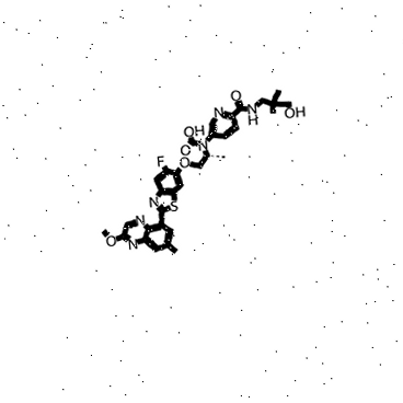 COc1cnc2c(-c3nc4cc(F)c(OC[C@@H](C)N(C(=O)O)c5ccc(C(=O)NCC(C)(C)CO)nc5)cc4s3)cc(C)cc2n1